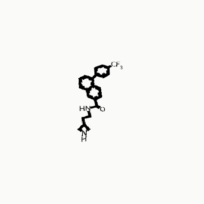 O=C(NCCC1CNC1)c1ccc2c(-c3ccc(C(F)(F)F)cc3)cccc2c1